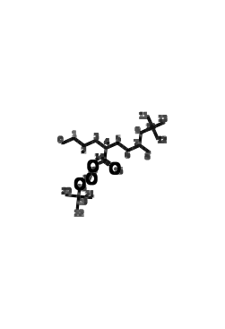 CCCCC(CCC(C)CC(C)(C)C)C(=O)OOOC(C)(C)C